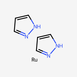 [Ru].c1cn[nH]c1.c1cn[nH]c1